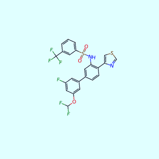 O=S(=O)(Nc1cc(-c2cc(F)cc(OC(F)F)c2)ccc1-c1cscn1)c1cccc(C(F)(F)F)c1